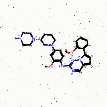 COc1cc(N2CCC[C@@H](N3CCN(C)CC3)C2)ccc1Nc1ncc2ccc(-c3ccccc3OC)n2n1